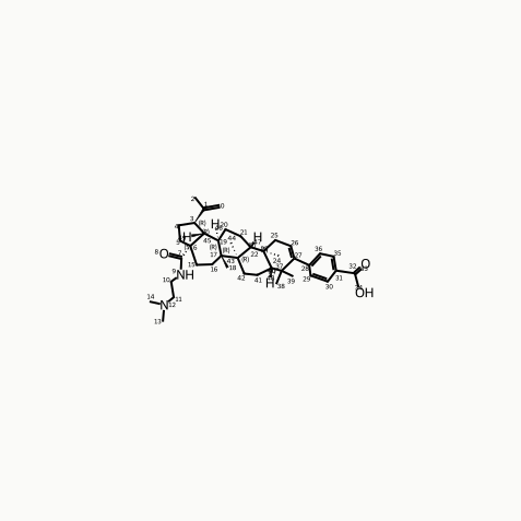 C=C(C)[C@@H]1CC[C@]2(C(=O)NCCN(C)C)CC[C@]3(C)[C@H](CC[C@@H]4[C@@]5(C)CC=C(c6ccc(C(=O)O)cc6)C(C)(C)[C@@H]5CC[C@]43C)[C@@H]12